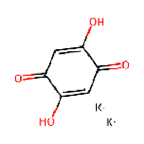 O=C1C=C(O)C(=O)C=C1O.[K].[K]